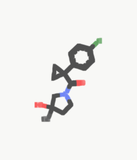 CC(C)(C)C1(O)CCN(C(=O)C2(c3ccc(Cl)cc3)CC2)C1